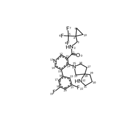 O=C(NCC1(C(F)(F)F)CC1)c1cncc(-c2cc(F)cc(F)c2)c1N1CCC2(CCCN2)C1